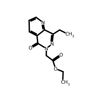 CCOC(=O)Cn1nc(CC)c2ncccc2c1=O